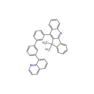 CC1(C)c2ccccc2-c2nc3ccccc3c(-c3cccc(-c4cccc(-c5cccc6cccnc56)c4)c3)c21